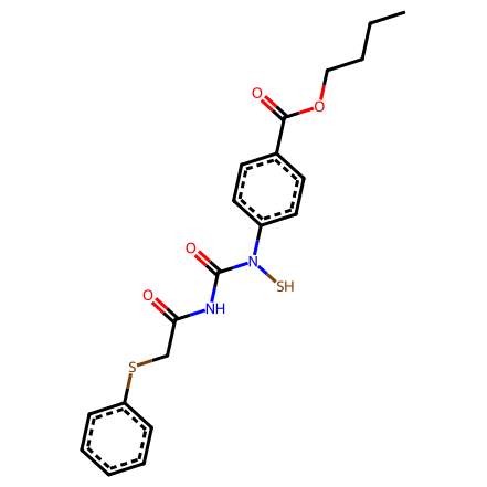 CCCCOC(=O)c1ccc(N(S)C(=O)NC(=O)CSc2ccccc2)cc1